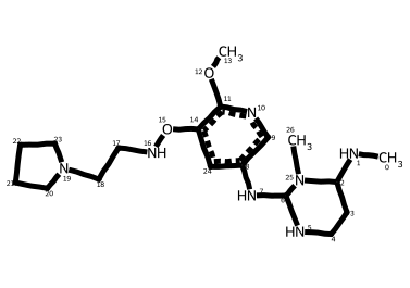 CNC1CCNC(Nc2cnc(OC)c(ONCCN3CCCC3)c2)N1C